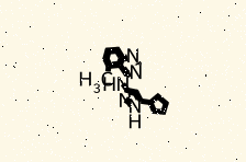 Cc1cccc2ncnc(Nc3cc(C4CCCC4)[nH]n3)c12